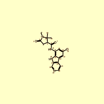 CN1C(=O)CC(C(=O)Nc2cc(Cl)cc3c2[nH]c2cnccc23)C1(C)C